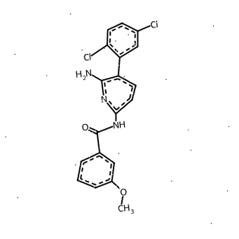 COc1cccc(C(=O)Nc2ccc(-c3cc(Cl)ccc3Cl)c(N)n2)c1